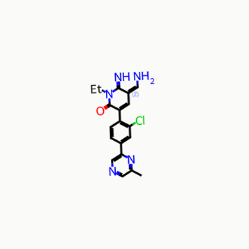 CCN1C(=N)/C(=C\N)C=C(c2ccc(-c3cncc(C)n3)cc2Cl)C1=O